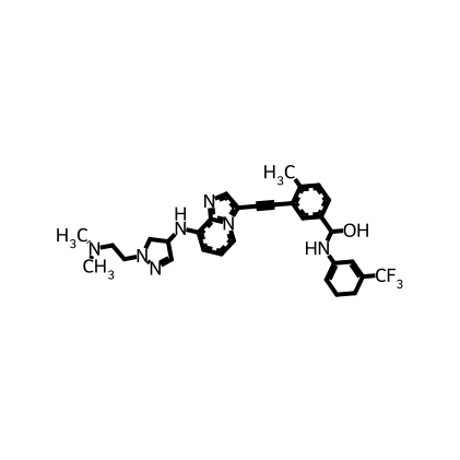 Cc1ccc(C(O)NC2=CCCC(C(F)(F)F)=C2)cc1C#Cc1cnc2c(NC3C=NN(CCN(C)C)C3)cccn12